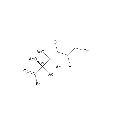 CC(=O)OC(C(C)=O)(C(O)C(O)CO)[C@](OC(C)=O)(C(C)=O)C(=O)Br